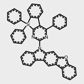 c1ccc(-c2nc(-n3c4ccccc4c4cc5c(cc43)oc3ccccc35)nc3c2-c2ccccc2[Si]3(c2ccccc2)c2ccccc2)cc1